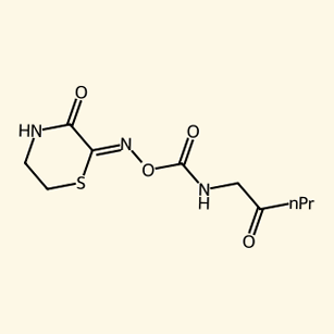 CCCC(=O)CNC(=O)ON=C1SCCNC1=O